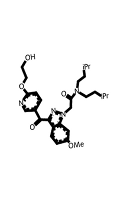 COc1ccc2c(C(=O)c3ccc(OCCO)nc3)nn(CC(=O)N(CCC(C)C)CCC(C)C)c2c1